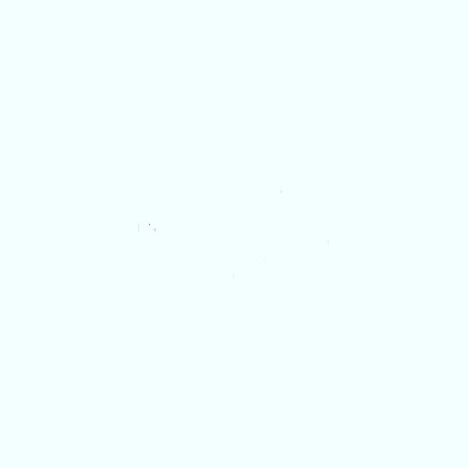 N=Cc1cc2ccccc2o1